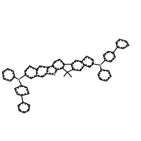 CC1(C)c2cc3cc(N(c4ccccc4)c4ccc(-c5ccccc5)cc4)ccc3cc2-c2ccc3c(sc4cc5cc(N(c6ccccc6)c6ccc(-c7ccccc7)cc6)ccc5cc43)c21